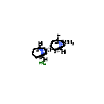 CN1[C@@H]2CCC[C@H]1CC2.CN1[C@@H]2CCC[C@H]1CC2.Cl